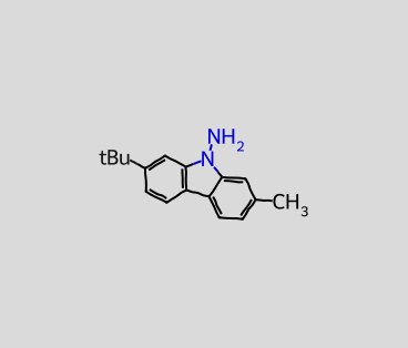 Cc1ccc2c3ccc(C(C)(C)C)cc3n(N)c2c1